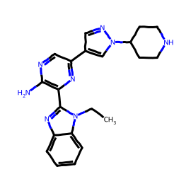 CCn1c(-c2nc(-c3cnn(C4CCNCC4)c3)cnc2N)nc2ccccc21